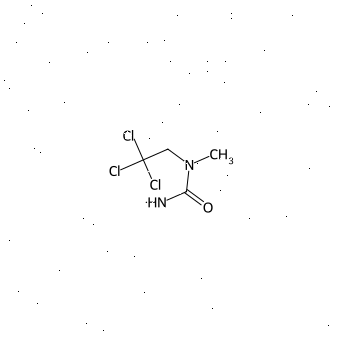 CN(CC(Cl)(Cl)Cl)C([NH])=O